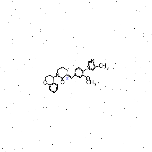 COc1cc(/C=C2\CCCN(C3CCOc4ccccc43)C2=O)ccc1-n1cnc(C)c1